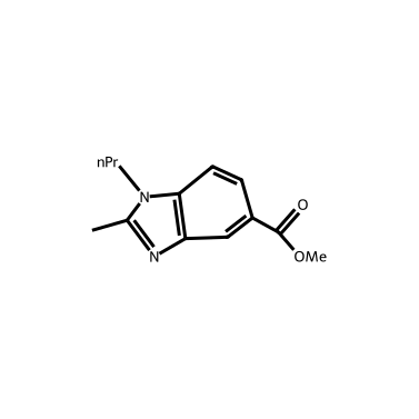 CCCn1c(C)nc2cc(C(=O)OC)ccc21